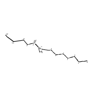 CCCCCCCPPCCCC